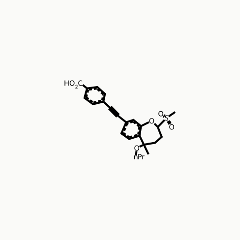 CCCOC1(C)CCC(S(C)(=O)=O)Oc2cc(C#Cc3ccc(C(=O)O)cc3)ccc21